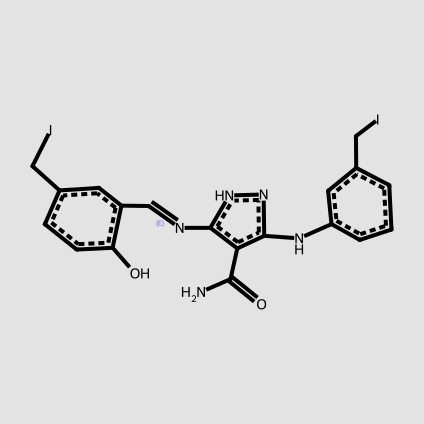 NC(=O)c1c(Nc2cccc(CI)c2)n[nH]c1/N=C/c1cc(CI)ccc1O